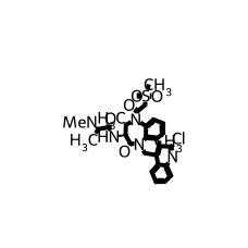 CN[C@@H](C)C(=O)N[C@@H]1C(=O)N(Cc2c(C)c(Cl)nc3ccccc23)c2ccccc2N(C(=O)CS(C)(=O)=O)[C@H]1C